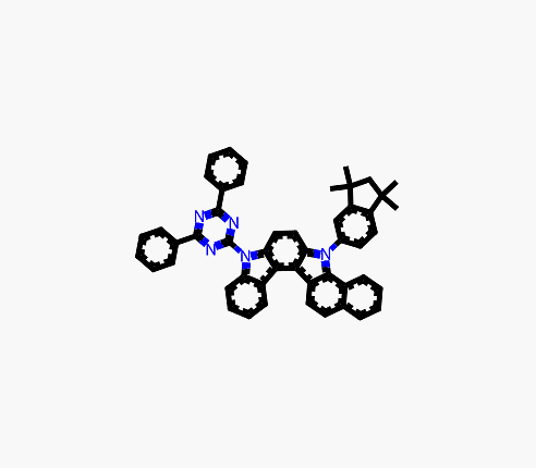 CC1(C)CC(C)(C)c2cc(-n3c4ccc5c(c6ccccc6n5-c5nc(-c6ccccc6)nc(-c6ccccc6)n5)c4c4ccc5ccccc5c43)ccc21